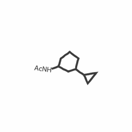 CC(=O)NC1CCCC(C2CC2)C1